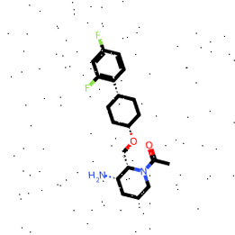 CC(=O)N1CCC[C@H](N)[C@@H]1CO[C@H]1CC[C@@H](c2ccc(F)cc2F)CC1